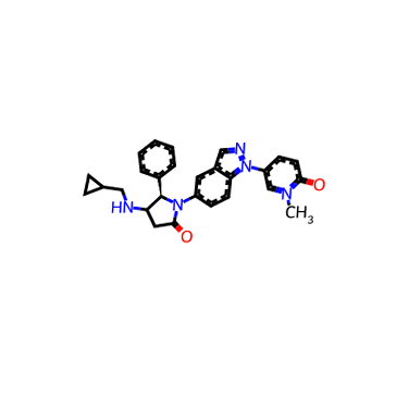 Cn1cc(-n2ncc3cc(N4C(=O)CC(NCC5CC5)[C@H]4c4ccccc4)ccc32)ccc1=O